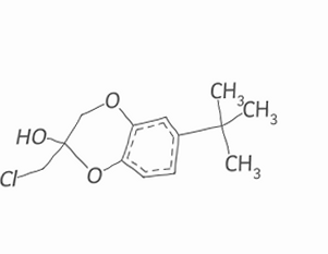 CC(C)(C)c1ccc2c(c1)OCC(O)(CCl)O2